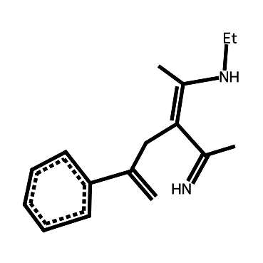 C=C(C/C(C(C)=N)=C(\C)NCC)c1ccccc1